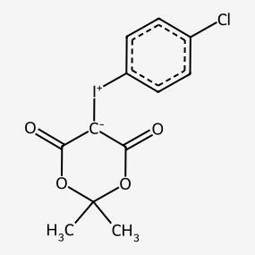 CC1(C)OC(=O)[C-]([I+]c2ccc(Cl)cc2)C(=O)O1